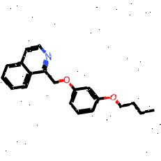 CCCCOc1cccc(OCc2nccc3ccccc23)c1